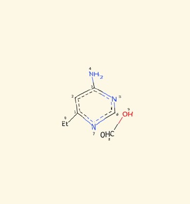 CCc1cc(N)ncn1.O=CO